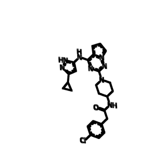 O=C(Cc1ccc(Cl)cc1)NC1CCN(c2nc(Nc3cc(C4CC4)n[nH]3)c3cccn3n2)CC1